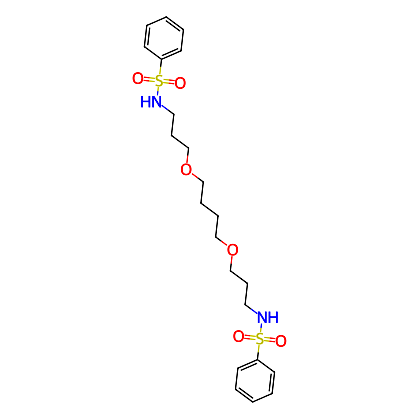 O=S(=O)(NCCCOCCCCOCCCNS(=O)(=O)c1ccccc1)c1ccccc1